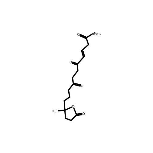 CCCCCC(=O)CC=CC(=O)CCC(=O)CCCC1(C)CCC(=O)O1